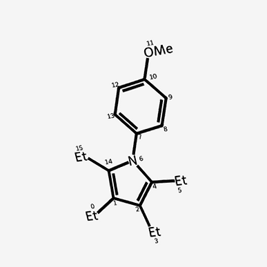 CCc1c(CC)c(CC)n(-c2ccc(OC)cc2)c1CC